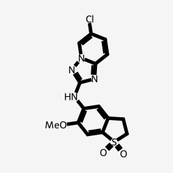 COc1cc2c(cc1Nc1nc3ccc(Cl)cn3n1)CCS2(=O)=O